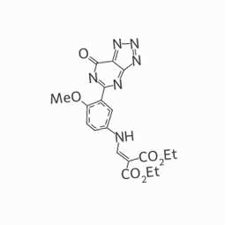 CCOC(=O)C(=CNc1ccc(OC)c(C2=NC(=O)C3=NN=NC3=N2)c1)C(=O)OCC